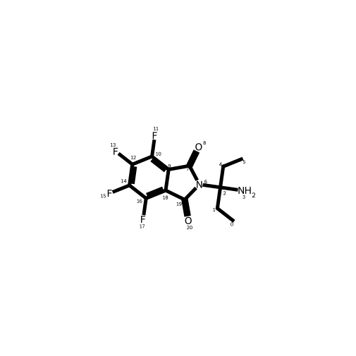 CCC(N)(CC)N1C(=O)c2c(F)c(F)c(F)c(F)c2C1=O